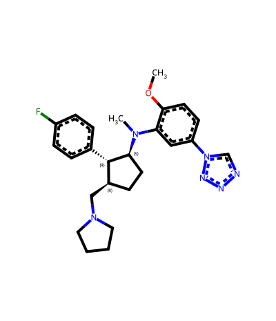 COc1ccc(-n2cnnn2)cc1N(C)[C@H]1CC[C@@H](CN2CCCC2)[C@@H]1c1ccc(F)cc1